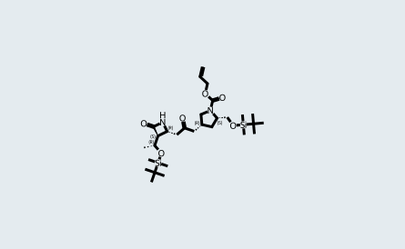 C=CCOC(=O)N1C[C@@H](CC(=O)C[C@H]2NC(=O)[C@@H]2[C@@H](C)O[Si](C)(C)C(C)(C)C)C[C@H]1CO[Si](C)(C)C(C)(C)C